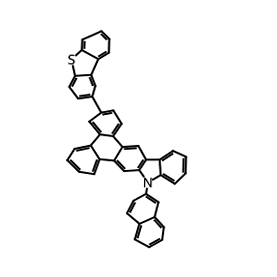 c1ccc2cc(-n3c4ccccc4c4cc5c6ccc(-c7ccc8sc9ccccc9c8c7)cc6c6ccccc6c5cc43)ccc2c1